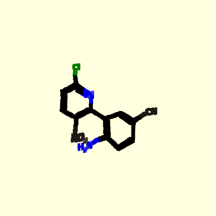 N#Cc1ccc(N)c(-c2nc(Cl)ccc2[N+](=O)[O-])c1